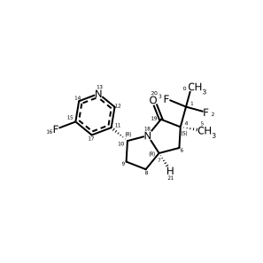 CC(F)(F)[C@@]1(C)C[C@H]2CC[C@H](c3cncc(F)c3)N2C1=O